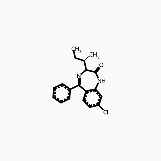 CC[C@H](C)C1N=C(c2ccccc2)c2ccc(Cl)cc2NC1=O